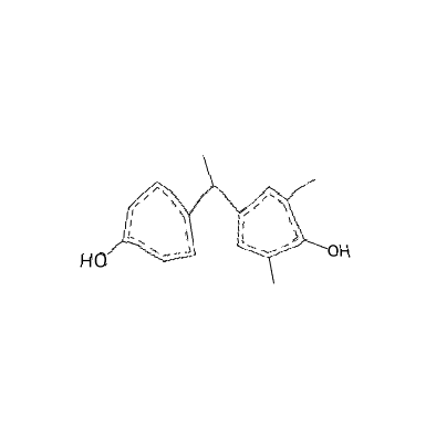 Cc1cc(C(C)c2ccc(O)cc2)cc(C)c1O